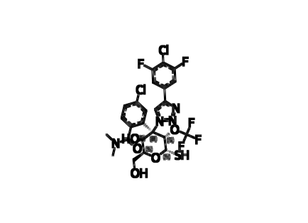 CN(C)C(=O)c1ccc(Cl)cc1[C@@]1(n2cc(-c3cc(F)c(Cl)c(F)c3)nn2)[C@H](O)[C@H](CO)O[C@@H](S)[C@H]1OC(F)(F)F